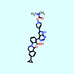 CN(C)C(=O)ON1CC=C(c2cc3c(-c4cccc(N5CCc6cc(C7CC7)ccc6C5=O)c4CO)ncnc3[nH]2)CC1